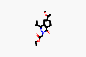 C=C(OC)c1ccc2c(=O)n(CC(=O)OCC)nc(C(C)C)c2c1